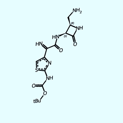 CC(C)(C)OC(=O)Nc1nc(C(=N)C(=O)N[C@@H]2C(=O)N[C@@H]2CN)cs1